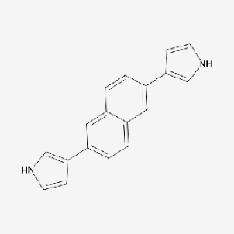 c1cc(-c2ccc3cc(-c4cc[nH]c4)ccc3c2)c[nH]1